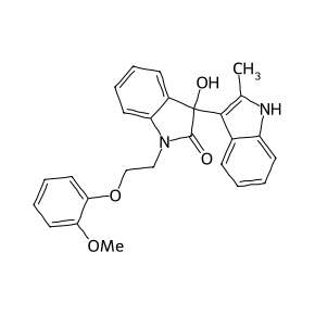 COc1ccccc1OCCN1C(=O)C(O)(c2c(C)[nH]c3ccccc23)c2ccccc21